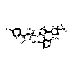 COc1ncnc(OC)c1-n1c(NS(=O)(=O)[C@@H](C)[C@@H](OC(C)C)c2ncc(Cl)cn2)nnc1C1CCC(C)(C)O1